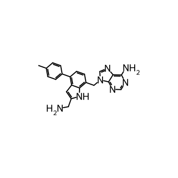 Cc1ccc(-c2ccc(Cn3cnc4c(N)ncnc43)c3[nH]c(CN)cc23)cc1